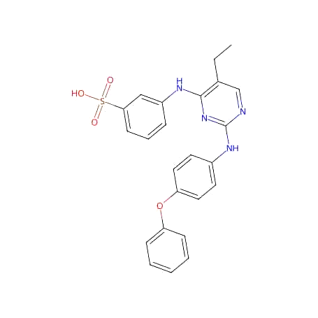 CCc1cnc(Nc2ccc(Oc3ccccc3)cc2)nc1Nc1cccc(S(=O)(=O)O)c1